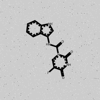 O=C(Nc1c[nH]c2ccccc12)n1cc(F)c(=O)[nH]c1=O